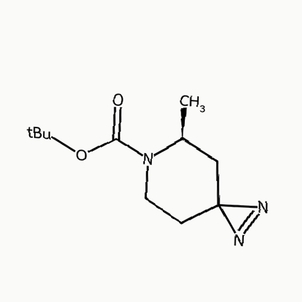 C[C@H]1CC2(CCN1C(=O)OC(C)(C)C)N=N2